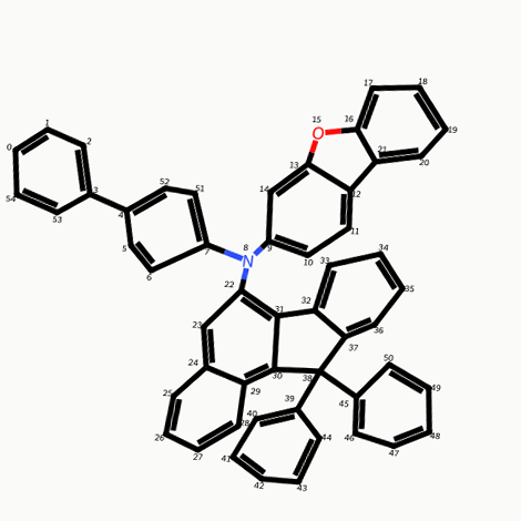 c1ccc(-c2ccc(N(c3ccc4c(c3)oc3ccccc34)c3cc4ccccc4c4c3-c3ccccc3C4(c3ccccc3)c3ccccc3)cc2)cc1